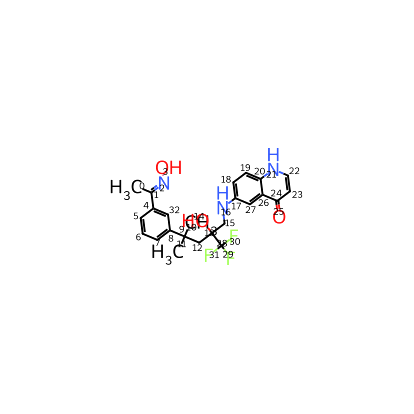 CC(=NO)c1cccc(C(C)(C)CC(O)(CNc2ccc3[nH]ccc(=O)c3c2)C(F)(F)F)c1